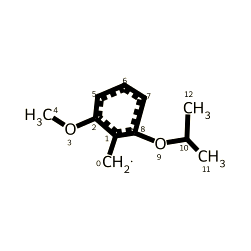 [CH2]c1c(OC)cccc1OC(C)C